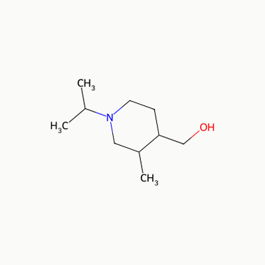 CC1CN(C(C)C)CCC1CO